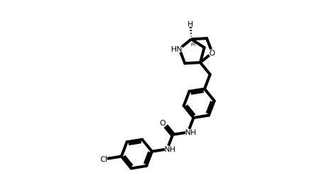 O=C(Nc1ccc(Cl)cc1)Nc1ccc(CC23CN[C@@H](CO2)C3)cc1